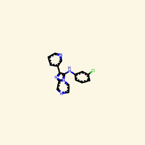 Clc1cccc(Nc2c(-c3cccnc3)nc3cnccn23)c1